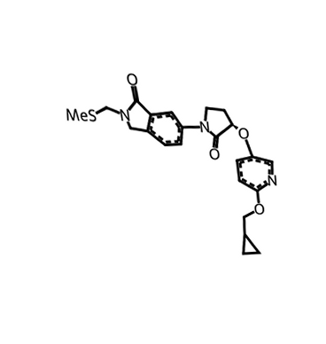 CSCN1Cc2ccc(N3CC[C@@H](Oc4ccc(OCC5CC5)nc4)C3=O)cc2C1=O